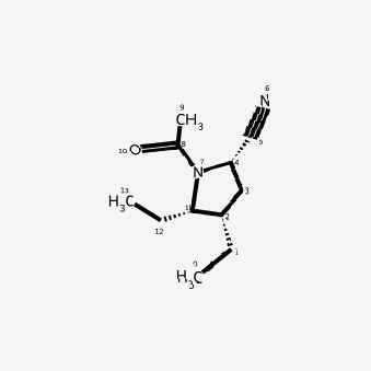 CC[C@H]1C[C@@H](C#N)N(C(C)=O)[C@H]1CC